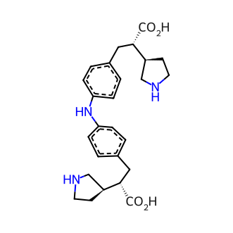 O=C(O)[C@@H](Cc1ccc(Nc2ccc(C[C@H](C(=O)O)[C@H]3CCNC3)cc2)cc1)[C@H]1CCNC1